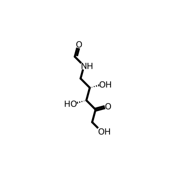 O=CNC[C@H](O)[C@@H](O)C(=O)CO